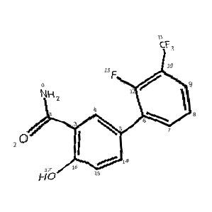 NC(=O)c1cc(-c2cccc(C(F)(F)F)c2F)ccc1O